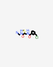 CSC(CNC(=O)c1cccc(CCl)c1)C(=O)NCC#N